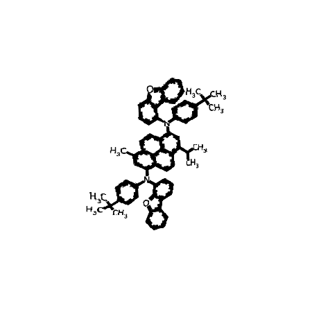 Cc1cc(N(c2ccc(C(C)(C)C)cc2)c2cccc3c2oc2ccccc23)c2ccc3c(C(C)C)cc(N(c4ccc(C(C)(C)C)cc4)c4cccc5oc6ccccc6c45)c4ccc1c2c34